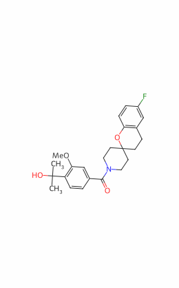 COc1cc(C(=O)N2CCC3(CCc4cc(F)ccc4O3)CC2)ccc1C(C)(C)O